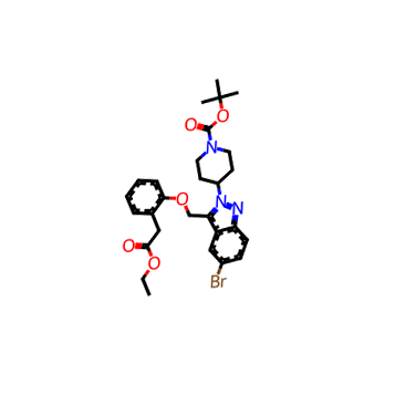 CCOC(=O)Cc1ccccc1OCc1c2cc(Br)ccc2nn1C1CCN(C(=O)OC(C)(C)C)CC1